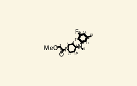 COCC(=O)N1CCC(N(C)c2cc(C)cc(F)c2)CC1